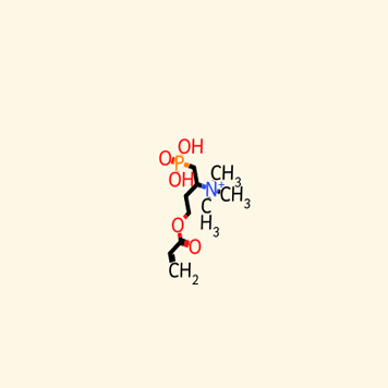 C=CC(=O)OCCC(CP(=O)(O)O)[N+](C)(C)C